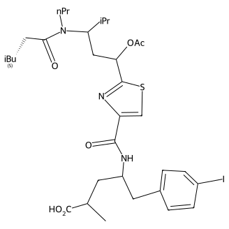 CCCN(C(=O)C[C@@H](C)CC)C(CC(OC(C)=O)c1nc(C(=O)NC(Cc2ccc(I)cc2)CC(C)C(=O)O)cs1)C(C)C